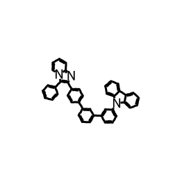 c1ccc(-c2c(-c3ccc(-c4cccc(-c5cccc(-n6c7ccccc7c7ccccc76)c5)c4)cc3)nc3ccccn23)cc1